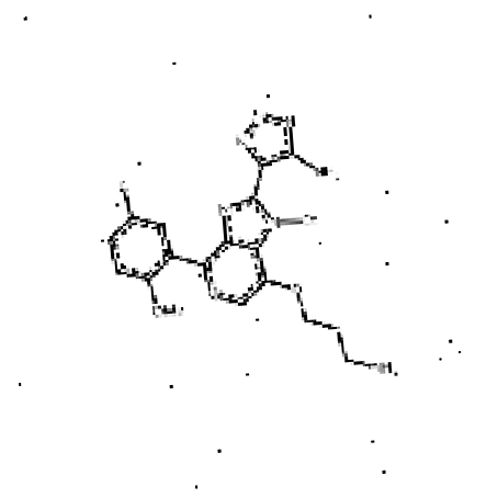 CCn1c(-c2nonc2N)nc2c(-c3cc(Cl)ccc3OC)ncc(OCCCN)c21